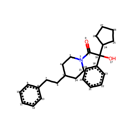 O=C(N1CCC(CCc2ccccc2)CC1)C(O)(c1ccccc1)C1CCCC1